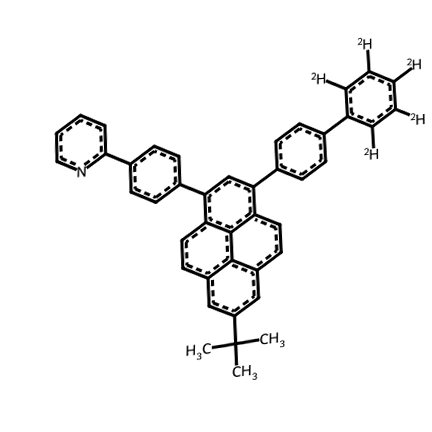 [2H]c1c([2H])c([2H])c(-c2ccc(-c3cc(-c4ccc(-c5ccccn5)cc4)c4ccc5cc(C(C)(C)C)cc6ccc3c4c56)cc2)c([2H])c1[2H]